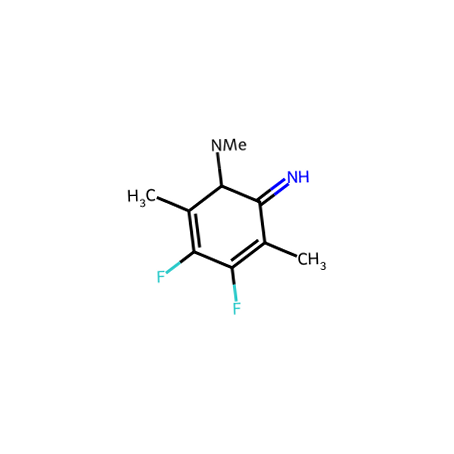 CNC1C(=N)C(C)=C(F)C(F)=C1C